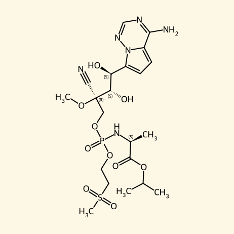 CO[C@](C#N)(COP(=O)(N[C@@H](C)C(=O)OC(C)C)OCCS(C)(=O)=O)[C@@H](O)[C@@H](O)c1ccc2c(N)ncnn12